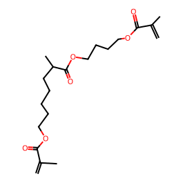 C=C(C)C(=O)OCCCCCC(C)C(=O)OCCCCOC(=O)C(=C)C